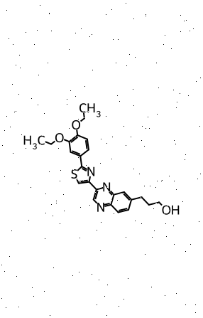 CCOc1ccc(-c2nc(-c3cnc4ccc(CCCO)cc4n3)cs2)cc1OCC